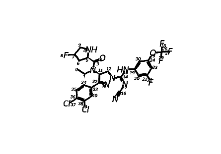 CCN(C(=O)[C@H]1C[C@@H](F)CN1)[C@H]1CN(C(=NC#N)Nc2cc(F)cc(OC(F)(F)F)c2)N=C1c1ccc(Cl)c(Cl)c1